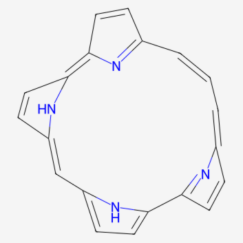 C1=Cc2nc1cccc1nc(c3ccc(cc4ccc2[nH]4)[nH]3)C=C1